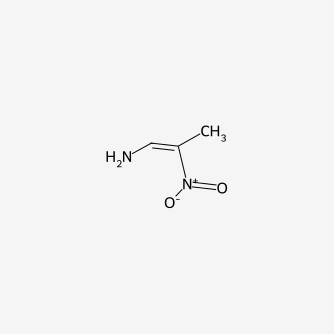 CC(=CN)[N+](=O)[O-]